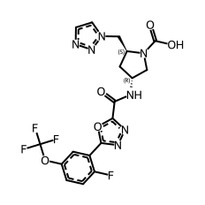 O=C(N[C@@H]1C[C@@H](Cn2ccnn2)N(C(=O)O)C1)c1nnc(-c2cc(OC(F)(F)F)ccc2F)o1